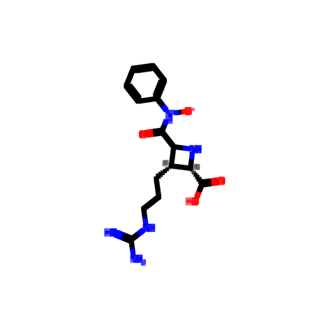 N=C(N)NCCC[C@@H]1C(C(=O)[NH+]([O-])c2ccccc2)N[C@@H]1C(=O)O